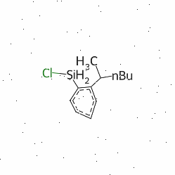 CCCCC(C)c1ccccc1[SiH2]Cl